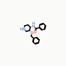 O=C(N[C@H]1CCNC[C@H]1OCc1ccccc1)c1ccccc1